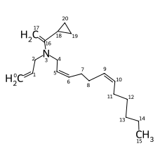 C=CCN(C/C=C\CC/C=C\CCCCC)C(=C)C1CC1